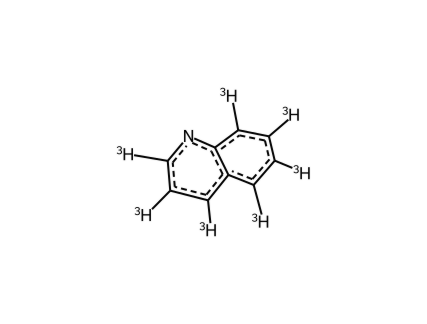 [3H]c1nc2c([3H])c([3H])c([3H])c([3H])c2c([3H])c1[3H]